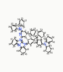 c1ccc([Si](c2ccccc2)(c2cccc(-c3cc(-n4c5ccccc5c5ccccc54)nc(-n4c5ccccc5n5c6ccccc6nc45)c3)c2)c2cccc(-n3c4ccccc4c4ccccc43)c2)cc1